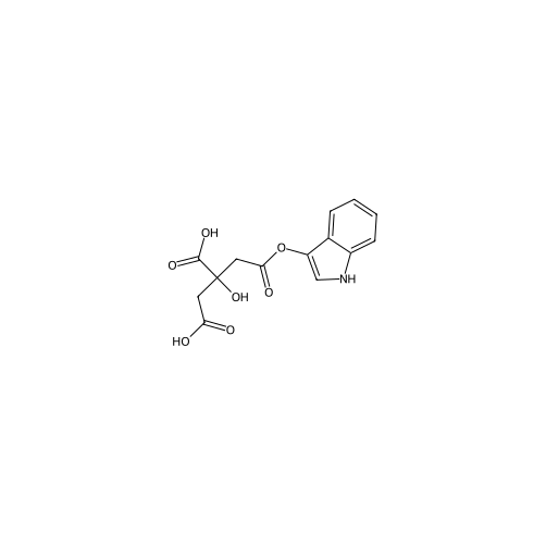 O=C(O)CC(O)(CC(=O)Oc1c[nH]c2ccccc12)C(=O)O